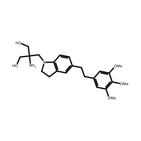 COc1cc(CCc2ccc3c(c2)CCN3CC(N)(CO)CO)cc(OC)c1OC